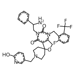 NC(Cn1c(=O)c2c(n(Cc3c(F)cccc3C(F)(F)F)c1=O)COC21CCN(Cc2ccc(O)nc2)CC1)c1ccccc1